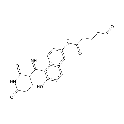 N=C(c1c(O)ccc2cc(NC(=O)CCCC=O)ccc12)C1CCC(=O)NC1=O